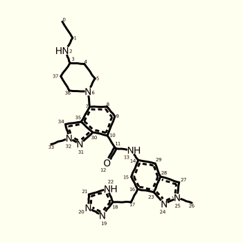 CCNC1CCN(c2ccc(C(=O)Nc3cc(Cc4nnc[nH]4)c4nn(C)cc4c3)c3nn(C)cc23)CC1